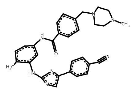 Cc1ccc(NC(=O)c2ccc(CN3CCN(C)CC3)cc2)cc1Nc1nc(-c2ccc(C#N)cc2)cs1